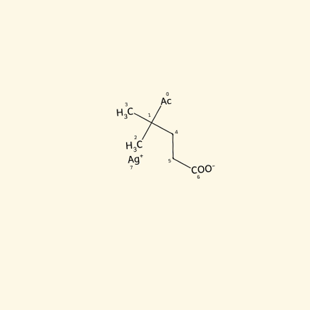 CC(=O)C(C)(C)CCC(=O)[O-].[Ag+]